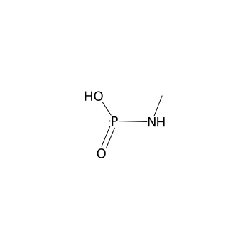 CN[P](=O)O